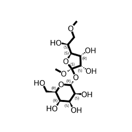 COC[C@H](O)[C@@H]1O[C@](OC)(O[C@H]2O[C@H](CO)[C@H](O)[C@H](O)[C@@H]2O)[C@@H](O)[C@H]1O